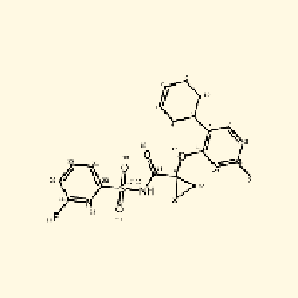 Cc1ccc(C2CC=CCC2)c(OC2(C(=O)NS(=O)(=O)c3cccc(F)n3)CC2)c1